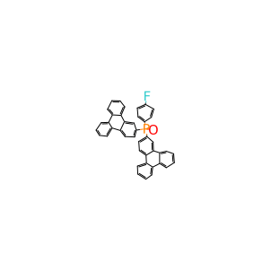 O=P(c1ccc(F)cc1)(c1ccc2c3ccccc3c3ccccc3c2c1)c1ccc2c3ccccc3c3ccccc3c2c1